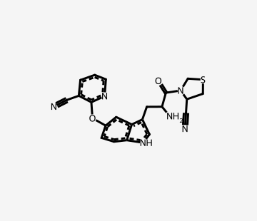 N#Cc1cccnc1Oc1ccc2[nH]cc(CC(N)C(=O)N3CSCC3C#N)c2c1